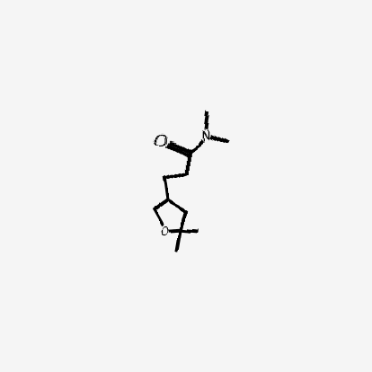 CN(C)C(=O)CCC1COC(C)(C)C1